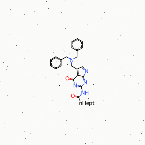 CCCCCCCC(=O)NC1=NC(=O)C2=C(CN(Cc3ccccc3)Cc3ccccc3)C=NC2=N1